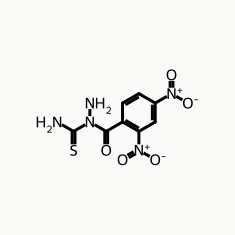 NC(=S)N(N)C(=O)c1ccc([N+](=O)[O-])cc1[N+](=O)[O-]